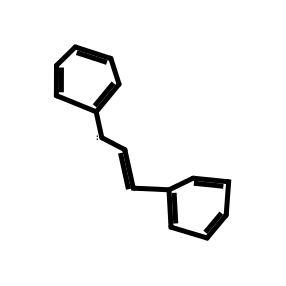 [C](C=Cc1ccccc1)c1ccccc1